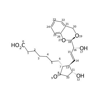 O=C(O)CCCCCC[C@H]1C(=O)C[C@@H](O)[C@@H]1/C=C/[C@@H](O)[C@@H]1OCc2ccccc2O1